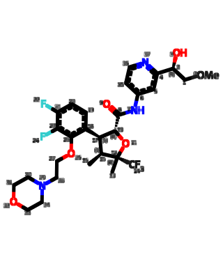 COC[C@H](O)c1cc(NC(=O)[C@@H]2O[C@@](C)(C(F)(F)F)[C@@H](C)[C@H]2c2ccc(F)c(F)c2OCCN2CCOCC2)ccn1